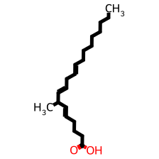 CCCCCCCCC=CCC=CC(C)C=CCCCC(=O)O